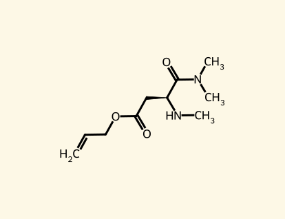 C=CCOC(=O)C[C@H](NC)C(=O)N(C)C